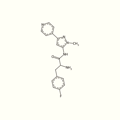 Cn1nc(-c2ccncc2)cc1NC(=O)C(N)Cc1ccc(F)cc1